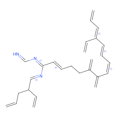 C=C/C=C(C=C)/C=C/C=C\C(=C)C(=C)CC/C=C/C(=N/C=N)/N=C/C(C=C)CC=C